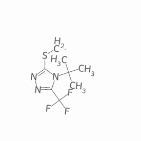 [CH2]Sc1nnc(C(F)(F)F)n1C(C)(C)C